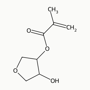 C=C(C)C(=O)OC1COCC1O